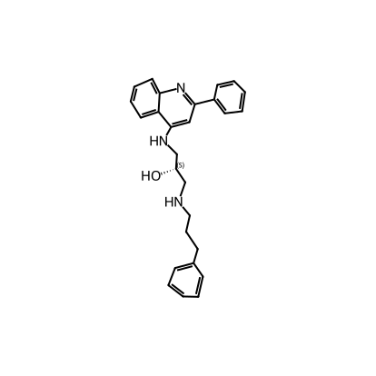 O[C@@H](CNCCCc1ccccc1)CNc1cc(-c2ccccc2)nc2ccccc12